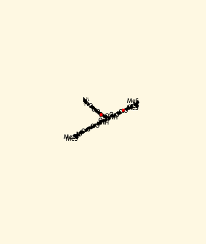 CSCC(CSC)=NOCCOCCOCCOCCOCCC(=O)NCCN(CCNC(=O)CCOCCOCCOCCOCCON=C(CSC)CSC)C(=O)CCOCCOCCOCCOCCN=[N+]=[N-]